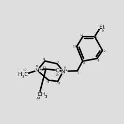 CCc1ccc(C[N+]23CC[N+](C)(CC2)C(C)C3)cc1